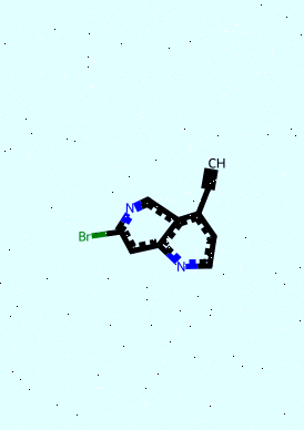 C#Cc1ccnc2cc(Br)ncc12